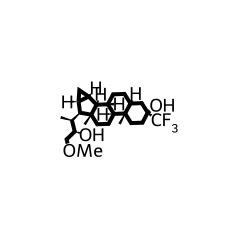 COC[C@@H](O)[C@@H](C)[C@H]1[C@H]2C[C@H]2[C@H]2[C@@H]3CC[C@@H]4C[C@@](O)(C(F)(F)F)CC[C@]4(C)[C@H]3CC[C@@]21C